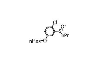 CCCCCCOc1ccc(Cl)c([S+]([O-])CCC)c1